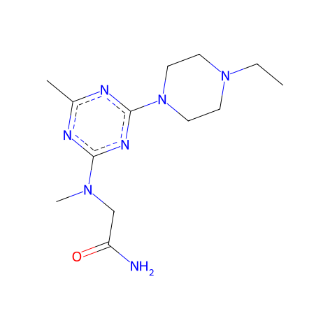 CCN1CCN(c2nc(C)nc(N(C)CC(N)=O)n2)CC1